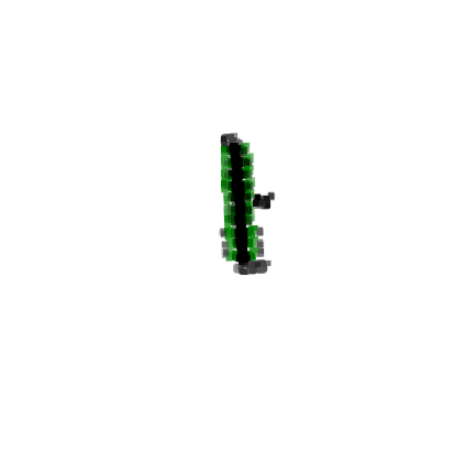 O=C([O-])C(F)(F)C(F)(F)C(F)(F)C(F)(F)C(F)(F)C(F)(F)C(F)(F)C(F)(F)C(F)(F)C(F)(F)C(F)(F)F.[Ag+]